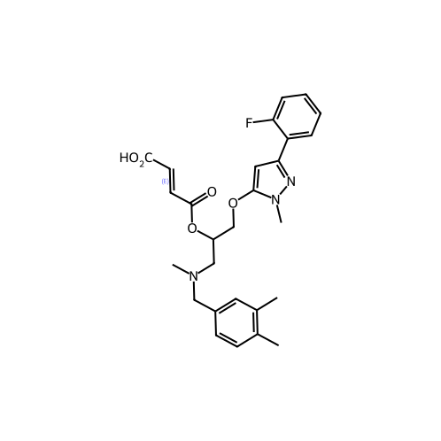 Cc1ccc(CN(C)CC(COc2cc(-c3ccccc3F)nn2C)OC(=O)/C=C/C(=O)O)cc1C